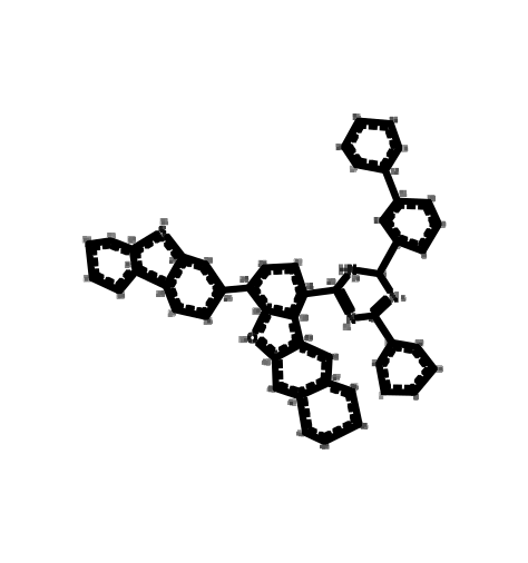 c1ccc(C2=NC(c3cccc(-c4ccccc4)c3)NC(c3ccc(-c4ccc5c(c4)sc4ccccc45)c4oc5cc6ccccc6cc5c34)=N2)cc1